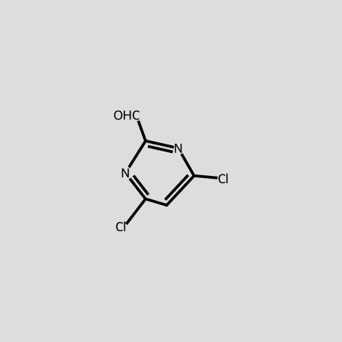 O=Cc1nc(Cl)cc(Cl)n1